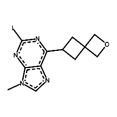 Cn1cnc2c(C3CC4(COC4)C3)nc(I)nc21